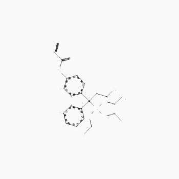 C=CC(=O)Nc1ccc(C(CCN)(c2ccccc2)[Si](OCC)(OCC)OCC)cc1.I